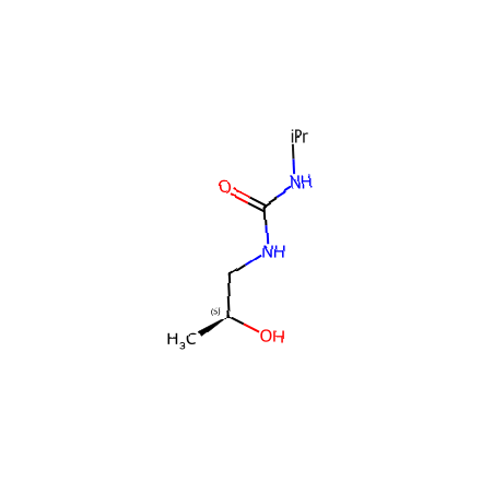 CC(C)NC(=O)NC[C@H](C)O